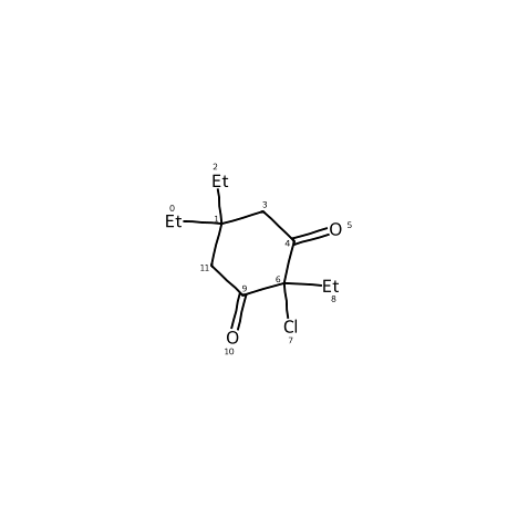 CCC1(CC)CC(=O)C(Cl)(CC)C(=O)C1